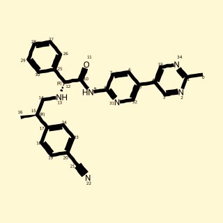 Cc1ncc(-c2ccc(NC(=O)[C@H](NC[C@H](C)c3ccc(C#N)cc3)c3ccccc3)nc2)cn1